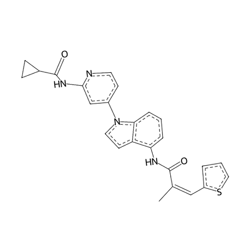 C/C(=C/c1cccs1)C(=O)Nc1cccc2c1ccn2-c1ccnc(NC(=O)C2CC2)c1